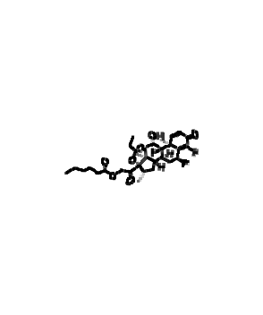 CCCCCC(=O)OCC(=O)[C@]1(OC(=O)CC)[C@@H](C)C[C@H]2[C@@H]3C[C@H](F)C4=C(F)C(=O)C=C[C@]4(C)[C@@]3(F)[C@@H](O)C[C@@]21C